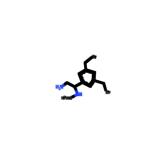 CCCCCNC(CN)c1cc(CC(C)C)cc(CC(C)C)c1